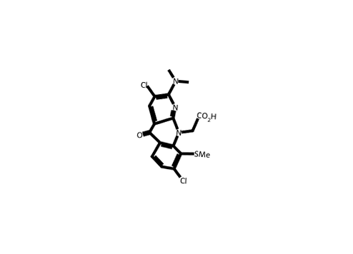 CSc1c(Cl)ccc2c(=O)c3cc(Cl)c(N(C)C)nc3n(CC(=O)O)c12